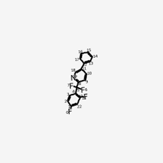 Fc1ccc(C(F)(F)c2ccc(-c3ccccc3)cn2)c(F)c1